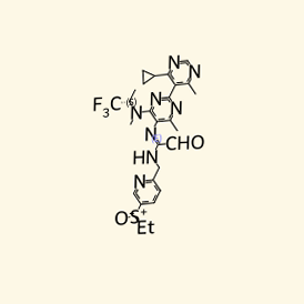 CC[S+]([O-])c1ccc(CN/C(C=O)=N/c2c(C)nc(-c3c(C)ncnc3C3CC3)nc2N(C)[C@@H](C)C(F)(F)F)nc1